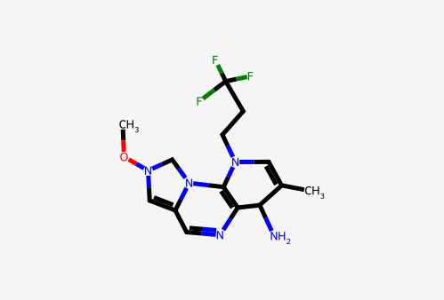 CON1C=C2C=NC3=C(N(CCC(F)(F)F)C=C(C)C3N)N2C1